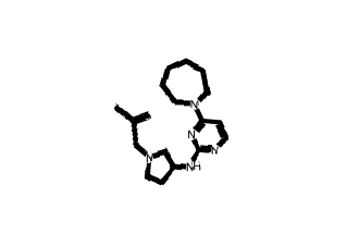 CC(C)CN1CCC(Nc2nccc(N3CCCCCC3)n2)C1